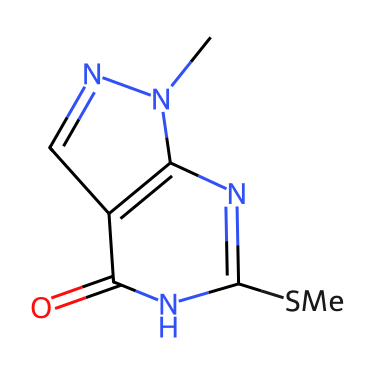 CSc1nc2c(cnn2C)c(=O)[nH]1